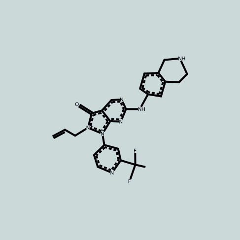 C=CCn1c(=O)c2cnc(Nc3ccc4c(c3)CCNC4)nc2n1-c1ccnc(C(C)(F)F)c1